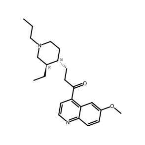 CCCN1CC[C@H](CCC(=O)c2ccnc3ccc(OC)cc23)[C@@H](CC)C1